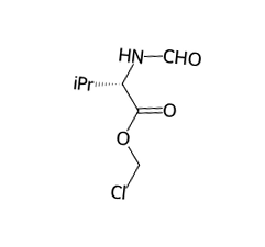 CC(C)[C@H](NC=O)C(=O)OCCl